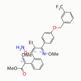 CCC(/C(=N/OC)c1ccc(OCc2cccc(C(F)(F)F)c2)cc1)=C(\ON)c1ccccc1/C(=C\OC)C(=O)OC